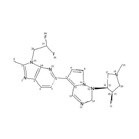 Cc1nc2ccc(-c3ccn4c3C=NCN4[C@H]3CN(C)C[C@H]3F)nc2n1CC(F)F